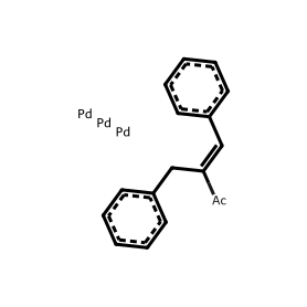 CC(=O)C(=Cc1ccccc1)Cc1ccccc1.[Pd].[Pd].[Pd]